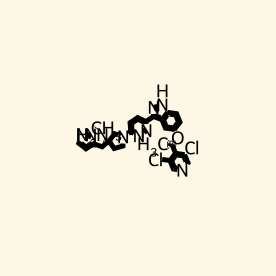 C[C@@H](Oc1ccc2[nH]nc(-c3ccc(N4CC[C@@](N)(Cc5ccnn5C)C4)nn3)c2c1)c1c(Cl)cncc1Cl